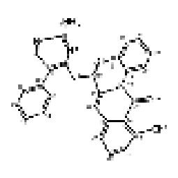 C[C@H](Nc1nc(N)ncc1-c1ccccc1)c1cc2cccc(Cl)c2c(=O)n1-c1ccccc1